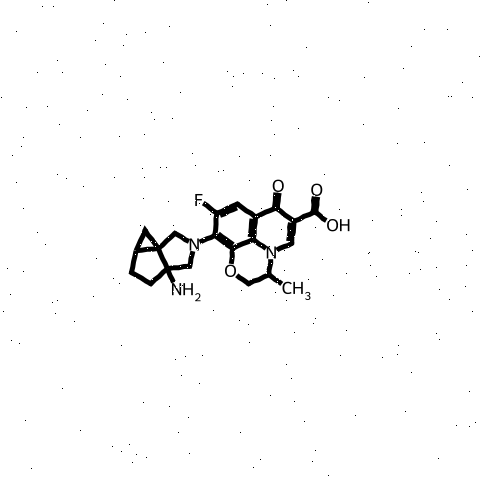 CC1COc2c(N3CC4(N)CCC5CC54C3)c(F)cc3c(=O)c(C(=O)O)cn1c23